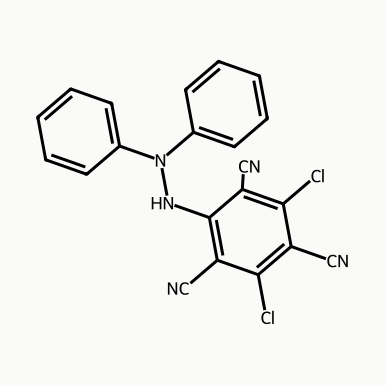 N#Cc1c(Cl)c(C#N)c(NN(c2ccccc2)c2ccccc2)c(C#N)c1Cl